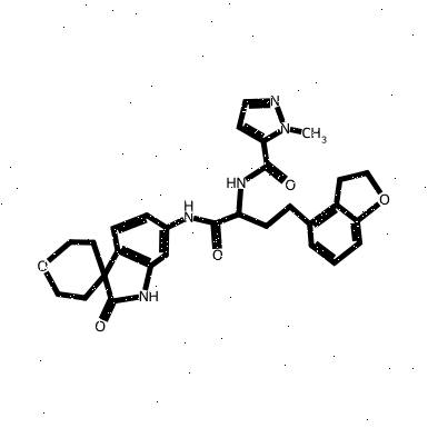 Cn1nccc1C(=O)NC(CCc1cccc2c1CCO2)C(=O)Nc1ccc2c(c1)NC(=O)C21CCOCC1